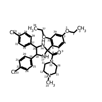 CCOc1ccc(C2(C(=O)N3CCN(C)CC3)NC(c3ccc(Cl)cc3)C(c3ccc(Cl)cc3)N2)c(OCC)c1